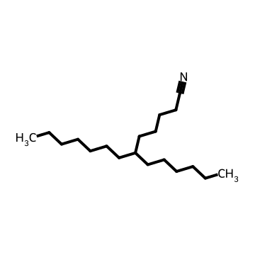 CCCCCCCC(CCCCC#N)CCCCCC